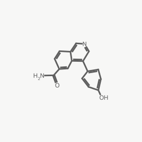 NC(=O)c1ccc2cncc(-c3ccc(O)cc3)c2c1